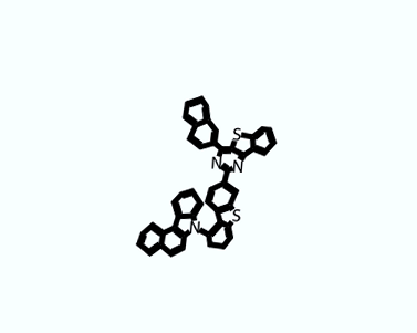 C1=c2sc3cc(-c4nc(-c5ccc6ccccc6c5)c5sc6ccccc6c5n4)ccc3c2=C(n2c3ccccc3c3c4ccccc4ccc32)CC1